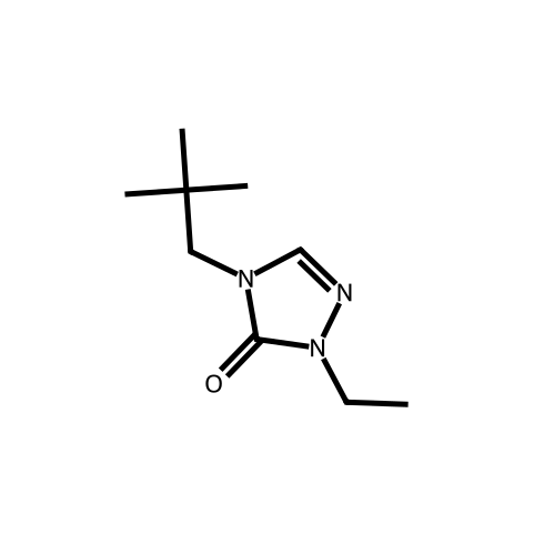 CCn1ncn(CC(C)(C)C)c1=O